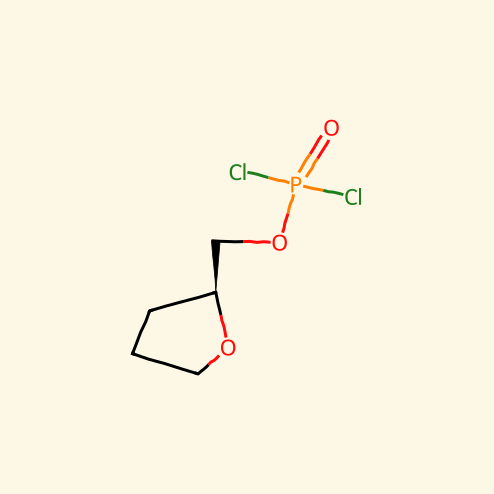 O=P(Cl)(Cl)OC[C@@H]1CCCO1